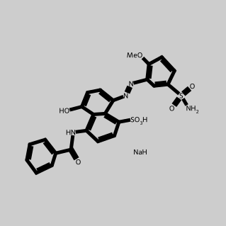 COc1ccc(S(N)(=O)=O)cc1N=Nc1ccc(O)c2c(NC(=O)c3ccccc3)ccc(S(=O)(=O)O)c12.[NaH]